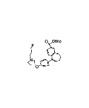 COC(=O)c1ccc2c(c1)CCCC=C2c1ccc(OC2CCN(CCCF)C2)cc1